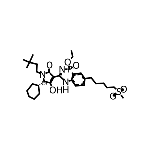 CCOP1(=O)N=C(C2=C(O)[C@H](C3CCCCC3)N(CCC(C)(C)C)C2=O)Nc2ccc(CCCCCS(C)(=O)=O)cc21